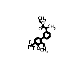 CCOC(=O)C(C)c1cccc(-c2ccc(C(F)(F)F)c(OC)c2C=O)c1